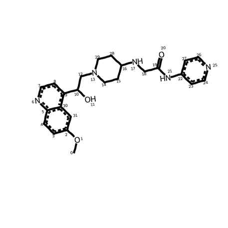 COc1ccc2nccc(C(O)CN3CCC(NCC(=O)Nc4ccncc4)CC3)c2c1